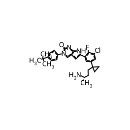 C[C@H](N)CCC1(c2cc(Cl)c(F)c(-c3cc4cn(-c5ccc(C(C)(C)C)cc5)c(=O)nc4[nH]3)c2)CC1